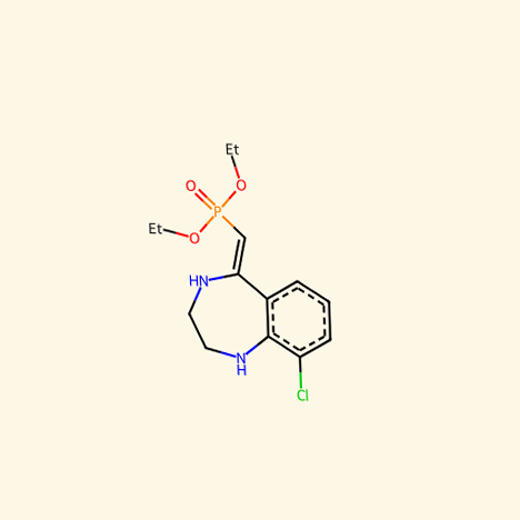 CCOP(=O)(C=C1NCCNc2c(Cl)cccc21)OCC